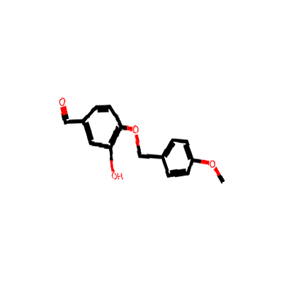 COc1ccc(COc2ccc(C=O)cc2O)cc1